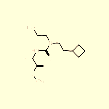 C[C@H](NC(=O)N(CCO)CCC1CCC1)C(=O)OC(C)(C)C